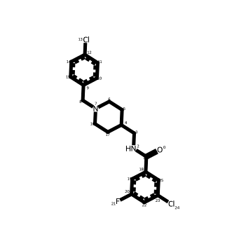 O=C(NCC1CCN(Cc2ccc(Cl)cc2)CC1)c1cc(F)cc(Cl)c1